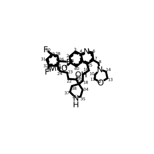 COc1ccc2ncc(CN3CCOCC3)c(CCCC3(C(O)CCCc4c(F)cc(F)cc4F)CCNCC3)c2c1